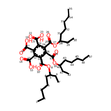 CCCCCC(CC)OC(=O)c1c(C(=O)O)c(C(=O)O)c(C(=O)O)c(C(=O)OC(CC)CCCCC)c1C(=O)OC(CC)CCCCC